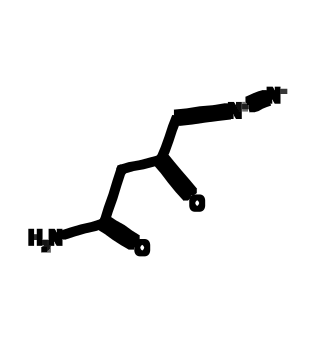 [N-]=[N+]=CC(=O)CC(N)=O